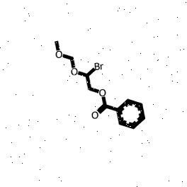 COCOC(Br)COC(=O)c1ccccc1